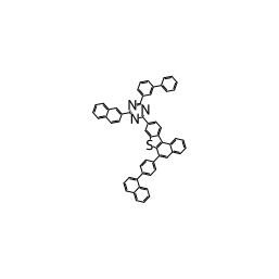 c1ccc(-c2cccc(-c3nc(-c4ccc5ccccc5c4)nc(-c4ccc5c(c4)sc4c(-c6ccc(-c7cccc8ccccc78)cc6)cc6ccccc6c45)n3)c2)cc1